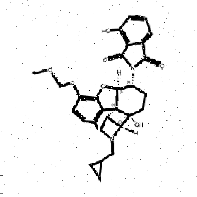 COCOc1ccc(C)c2c1O[C@H]1[C@H](N3C(=O)c4cccc(O)c4C3=O)CC[C@@]3(O)[C@H]4C(CN4CC4CC4)[C@]213